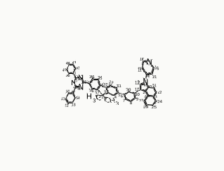 CC1(C)c2cc(-c3cccc(-c4cn(-c5ccncc5)c5ccc6ccccc6c45)c3)ccc2-c2ccc(-c3nc(-c4ccccc4)nc(-c4ccccc4)n3)cc21